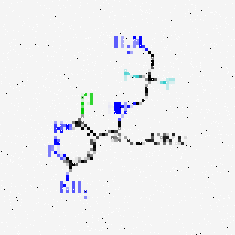 COC[C@@H](NCC(F)(F)CN)c1cc(N)nnc1Cl